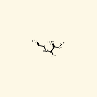 C=CCNC(CC)C(=C)OCC